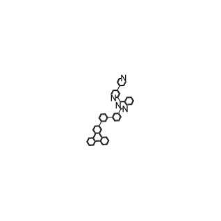 c1cc(-c2cccc(-c3nc(-c4cc(-c5ccncc5)ccn4)c4ccccc4n3)c2)cc(-c2ccc3c4ccccc4c4ccccc4c3c2)c1